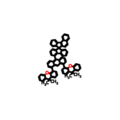 CC1(C)c2ccccc2Oc2c(-c3cccc4c(-c5cccc6c5-c5ccccc5C65c6ccccc6-c6c5ccc5ccccc65)c5cccc(-c6cccc7c6Oc6ccccc6C7(C)C)c5cc34)cccc21